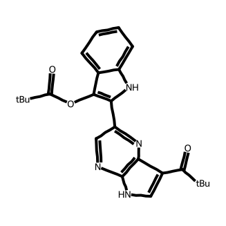 CC(C)(C)C(=O)Oc1c(-c2cnc3[nH]cc(C(=O)C(C)(C)C)c3n2)[nH]c2ccccc12